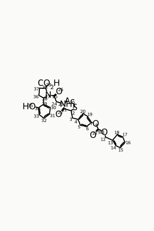 CC(=O)SC(Cc1ccc(OC(=O)OCc2ccccc2)cc1)C(=O)NCC(=O)N1C(c2ccccc2O)CC[C@H]1C(=O)O